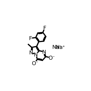 Cc1nn2c([O-])cc([O-])nc2c1-c1ccc(F)cc1F.[Na+].[Na+]